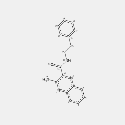 Nc1nc2ccccc2nc1C(=O)NCCc1ccccc1